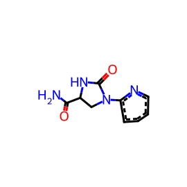 NC(=O)C1CN(c2ccccn2)C(=O)N1